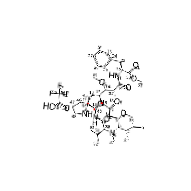 CC[C@H](C)[C@@H]([C@@H](CC(=O)N1CCC[C@H]1[C@H](OC)[C@@H](C)C(=O)N[C@@H](Cc1ccccc1)C(=O)OC)OC)N(C)[C@H](C(=O)NC(=O)[C@@]1(C)CCCN1)C(C)C.O=C(O)C(F)(F)F